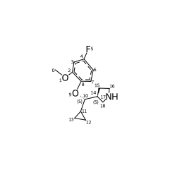 COc1cc(F)ccc1O[C@@H](C1CC1)[C@H]1CCNC1